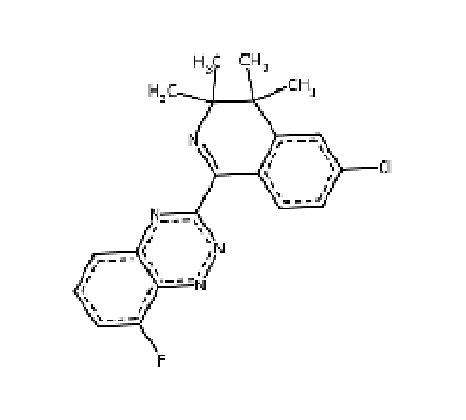 CC1(C)N=C(c2nnc3c(F)cccc3n2)c2ccc(Cl)cc2C1(C)C